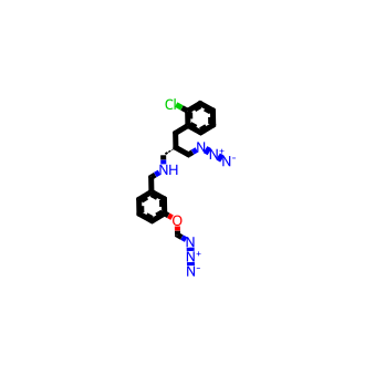 [N-]=[N+]=NCOc1cccc(CNC[C@@H](CN=[N+]=[N-])Cc2ccccc2Cl)c1